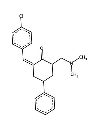 CN(C)CC1CC(c2ccccc2)C/C(=C/c2ccc(Cl)cc2)C1=O